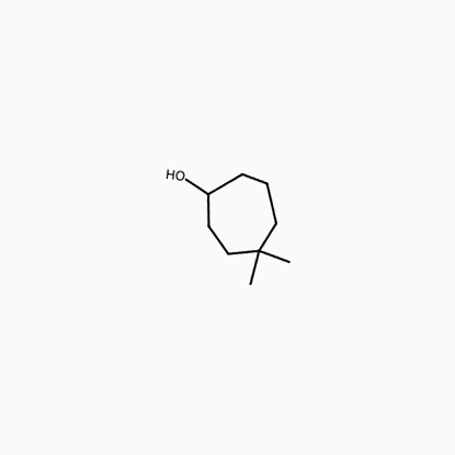 CC1(C)CCCC(O)CC1